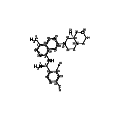 Cc1nnc(N[C@H](N)c2ccc(F)cc2F)c2cc(N3CCN4CCOC[C@@H]4C3)ncc12